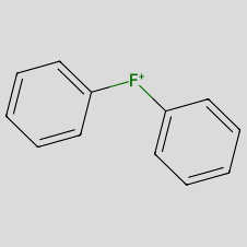 c1ccc([F+]c2ccccc2)cc1